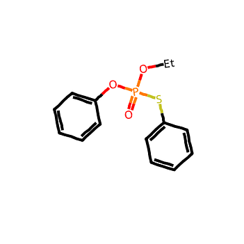 CCOP(=O)(Oc1ccccc1)Sc1ccccc1